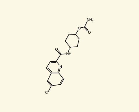 NC(=O)OC1CCN(NC(=O)c2ccc3cc(Cl)ccc3n2)CC1